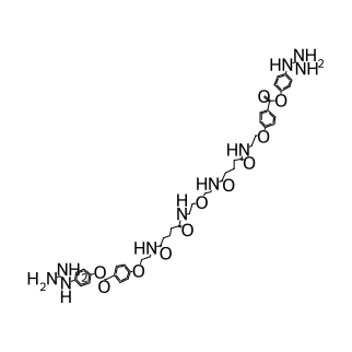 N=C(N)Nc1ccc(OC(=O)c2ccc(OCCNC(=O)CCCC(=O)NCCOCCNC(=O)CCCC(=O)NCCOc3ccc(C(=O)Oc4ccc(NC(N)N)cc4)cc3)cc2)cc1